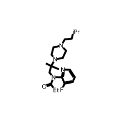 CCC(=O)N(CC(C)(C)N1CCN(CCC(C)C)CC1)c1ncccc1F